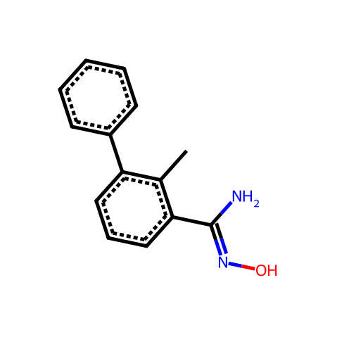 Cc1c(/C(N)=N/O)cccc1-c1ccccc1